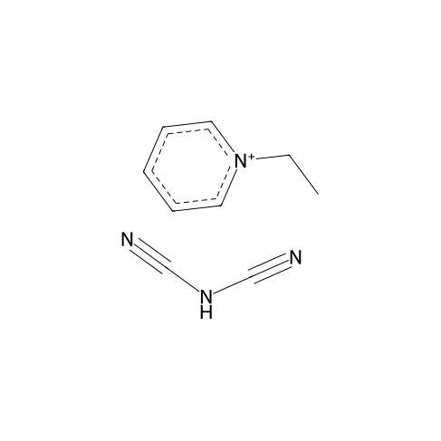 CC[n+]1ccccc1.N#CNC#N